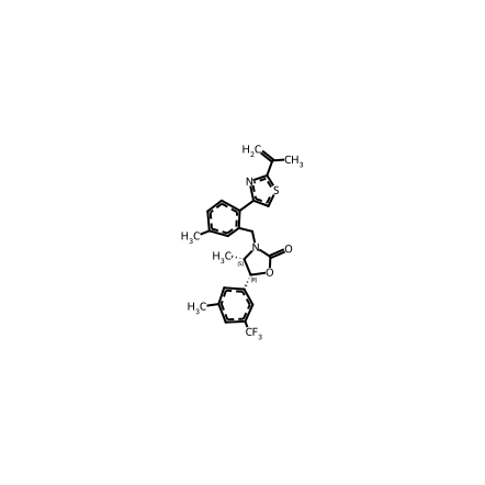 C=C(C)c1nc(-c2ccc(C)cc2CN2C(=O)O[C@H](c3cc(C)cc(C(F)(F)F)c3)[C@@H]2C)cs1